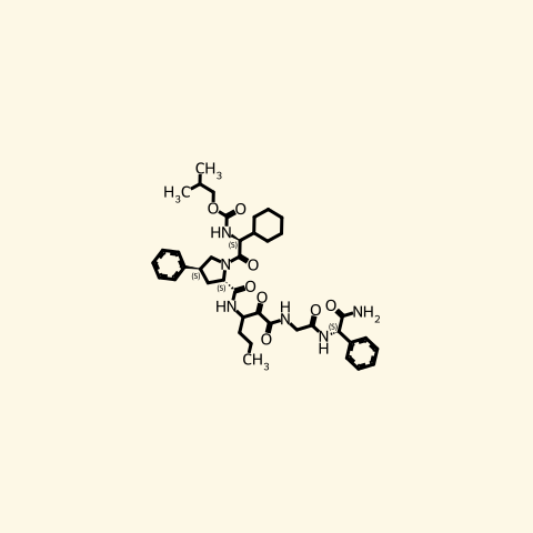 CCCC(NC(=O)[C@@H]1C[C@@H](c2ccccc2)CN1C(=O)[C@@H](NC(=O)OCC(C)C)C1CCCCC1)C(=O)C(=O)NCC(=O)N[C@H](C(N)=O)c1ccccc1